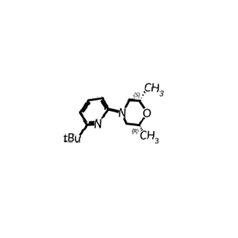 C[C@@H]1CN(c2cccc(C(C)(C)C)n2)C[C@H](C)O1